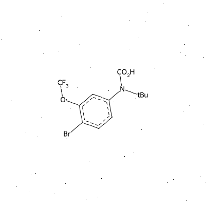 CC(C)(C)N(C(=O)O)c1ccc(Br)c(OC(F)(F)F)c1